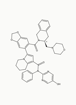 O=C(c1cc(-c2cc3c(cc2C(=O)N2Cc4ccccc4C[C@H]2CN2CCOCC2)OCO3)n2c1CCCC2)N(c1ccccc1)c1ncc(O)cn1